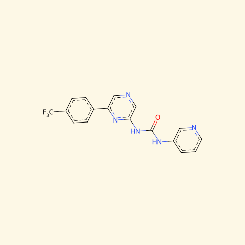 O=C(Nc1cccnc1)Nc1cncc(-c2ccc(C(F)(F)F)cc2)n1